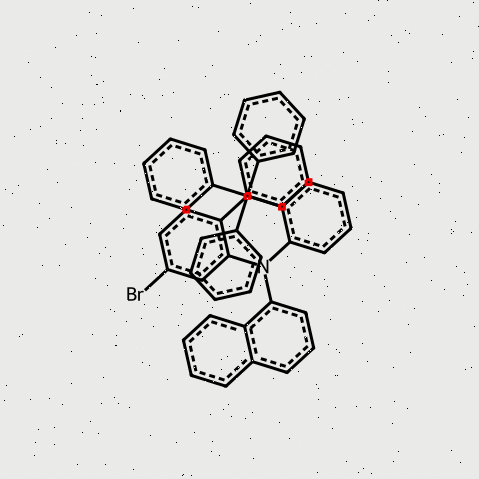 Brc1ccc(-c2ccccc2)c(N(c2ccccc2C(c2ccccc2)(c2ccccc2)c2ccccc2)c2cccc3ccccc23)c1